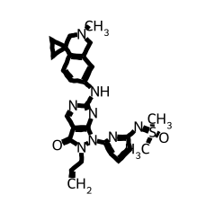 C=CCn1c(=O)c2cnc(Nc3ccc4c(c3)CN(C)CC43CC3)nc2n1-c1cccc(N=S(C)(C)=O)n1